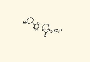 O=C1N(OS(=O)(=O)O)C2CC[C@@H](c3nnc([C@@H]4CCCNC4)o3)N1C2